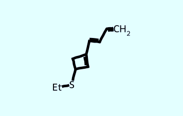 C=CC=CC1=CC(SCC)C1